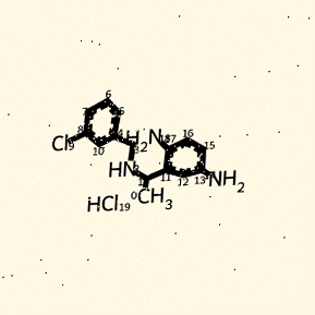 CC(NCc1cccc(Cl)c1)c1cc(N)ccc1N.Cl